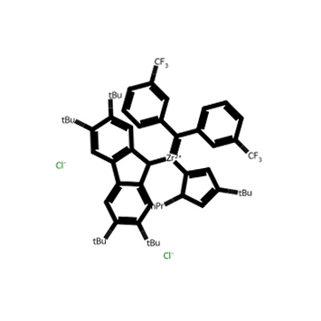 CCCC1C=C(C(C)(C)C)C=[C]1[Zr+2](=[C](c1cccc(C(F)(F)F)c1)c1cccc(C(F)(F)F)c1)[CH]1c2cc(C(C)(C)C)c(C(C)(C)C)cc2-c2cc(C(C)(C)C)c(C(C)(C)C)cc21.[Cl-].[Cl-]